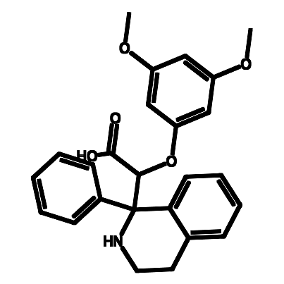 COc1cc(OC)cc(OC(C(=O)O)C2(c3ccccc3)NCCc3ccccc32)c1